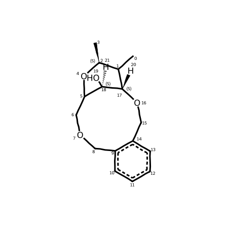 CC1[C@H](C)OC2COCc3ccccc3CO[C@@H]1[C@@H]2O